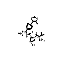 Cc1ncsc1-c1ccc([C@H](CN(C)C)NC(=O)[C@@H]2C[C@@H](O)CN2C(=O)[C@@H](N)C(C)C)cc1